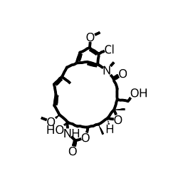 COc1cc2cc(c1Cl)N(C)C(=O)CC(CO)[C@]1(C)O[C@H]1[C@@H](C)C1C[C@](O)(NC(=O)O1)[C@@H](OC)/C=C/C=C(\C)C2